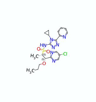 CCCO[C@@H](c1ncc(Cl)cn1)[C@H](C)S(=O)(=O)Nc1nnc(-c2ccccn2)n1C1CC1